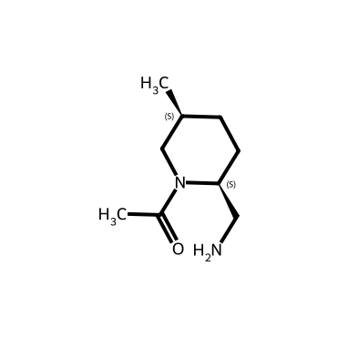 CC(=O)N1C[C@@H](C)CC[C@H]1CN